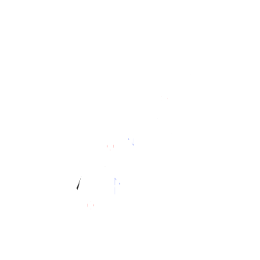 C[C@H](NC(=O)[C@@H](CO)c1ccccc1)c1ccc(OCC2(C)CCCC2)cn1